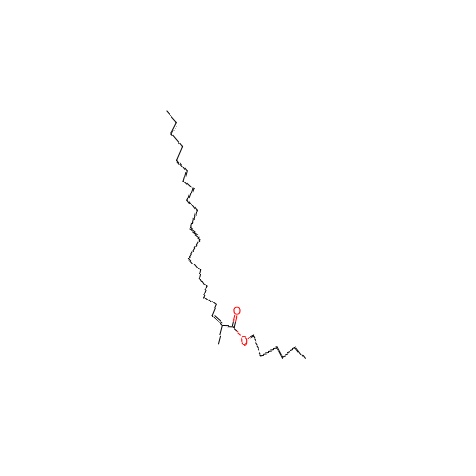 CCCCCCCCCCCCCCCCCCC=C(C)C(=O)OCCCCCC